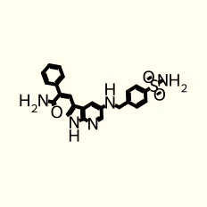 NC(=O)C(=Cc1c[nH]c2ncc(NCc3ccc(S(N)(=O)=O)cc3)cc12)c1ccccc1